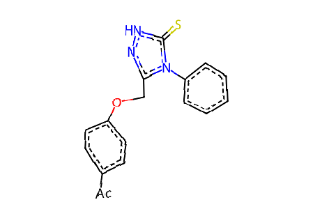 CC(=O)c1ccc(OCc2n[nH]c(=S)n2-c2ccccc2)cc1